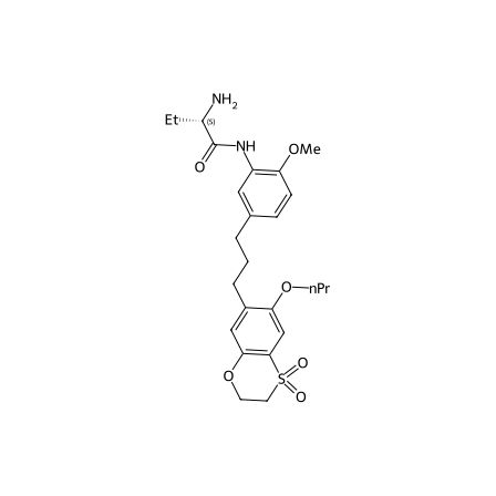 CCCOc1cc2c(cc1CCCc1ccc(OC)c(NC(=O)[C@@H](N)CC)c1)OCCS2(=O)=O